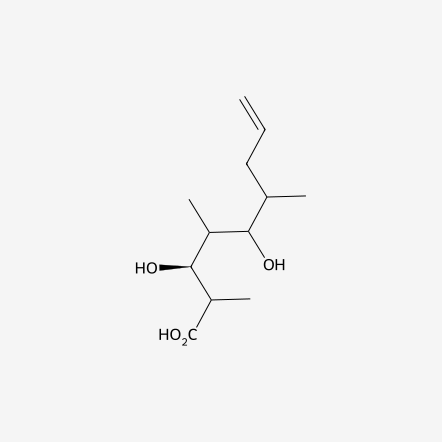 C=CCC(C)C(O)C(C)[C@H](O)C(C)C(=O)O